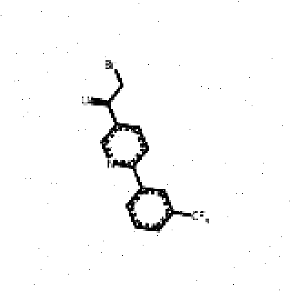 O=C(CBr)c1ccc(-c2cccc(C(F)(F)F)c2)nc1